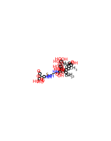 CC1O[C@@H](OC2C(O)[C@@H](NC(=O)CCCCCNC(=S)Nc3ccc(-c4c5ccc(=O)cc-5oc5cc(O)ccc45)c(C(=O)OO)c3)C(CO)O[C@H]2OC(=O)[C@]23CCC(C)(C)CC2C2=CCC4C5(C)CC[C@H](O)[C@](C)(C=O)[C@@H]5CCC4(C)[C@]2(C)CC3O)C(O)C(O)[C@H]1O[C@@H]1OC[C@@H](O)C(O)C1O